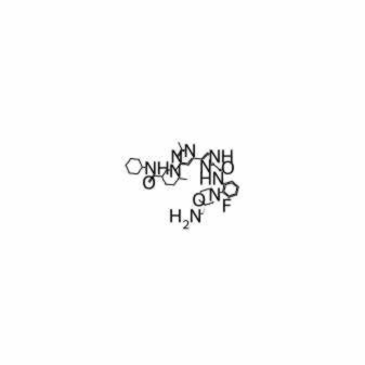 Cc1nc(-c2c[nH]c(C(=O)Nc3cccc(F)c3N3CCO[C@@H](CN)C3)n2)cc(N2CC(C(=O)NC3CCCCC3)CCC2C)n1